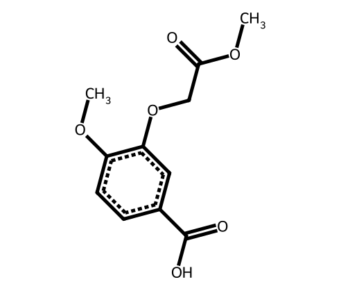 COC(=O)COc1cc(C(=O)O)ccc1OC